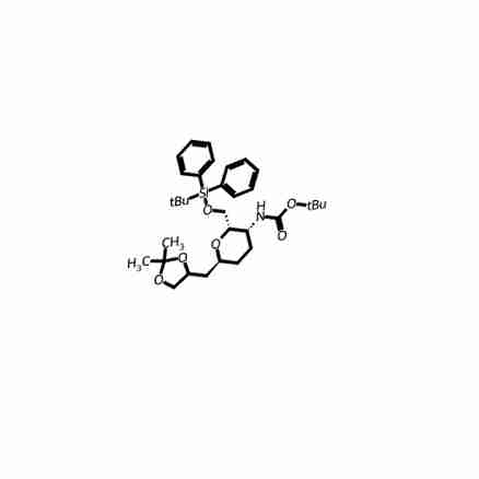 CC(C)(C)OC(=O)N[C@@H]1CC[C@@H](CC2COC(C)(C)O2)O[C@@H]1CO[Si](c1ccccc1)(c1ccccc1)C(C)(C)C